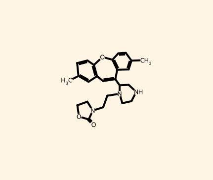 Cc1ccc2c(c1)C=C(C1CNCCN1CCN1CCOC1=O)c1cc(C)ccc1O2